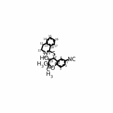 [C-]#[N+]c1ccc2c(c1)[C@@H](SC1=NCCc3ccccc31)[C@H](O)C(C)(C)O2